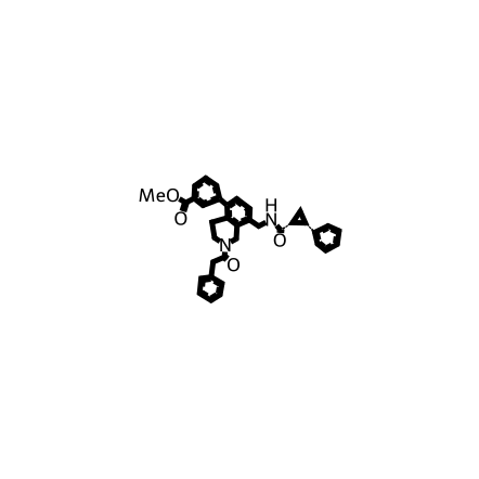 COC(=O)c1cccc(-c2ccc(CNC(=O)[C@@H]3C[C@@H]3c3ccccc3)c3c2CCN(C(=O)Cc2ccccc2)C3)c1